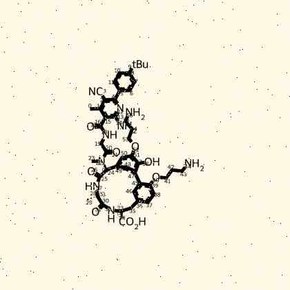 Cc1c(C#N)c(-c2ccc(C(C)(C)C)cc2)nc(N)c1C(=O)NCC(=O)N(C)[C@@H]1C(=O)N[C@@H](C)C(=O)N[C@H](C(=O)O)Cc2ccc(OCCCN)c(c2)-c2cc1cc(OCCCN)c2O